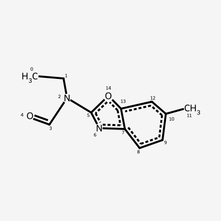 CCN(C=O)c1nc2ccc(C)cc2o1